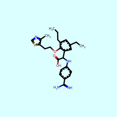 CCCc1cc(CC)cc(C(Nc2ccc(C(=N)N)cc2)C(=O)O)c1OCCc1scnc1C